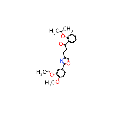 CCOc1cc(-c2nc(CCC(=O)c3ccccc3OC(C)C)co2)ccc1OC